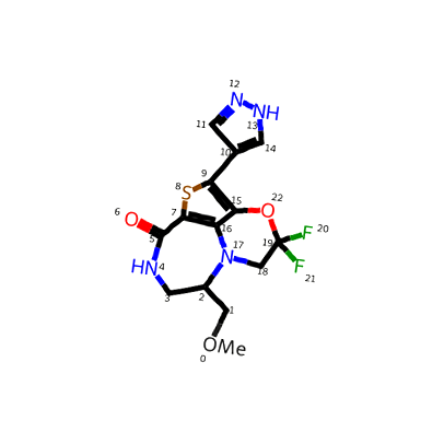 COCC1CNC(=O)c2sc(-c3cn[nH]c3)c3c2N1CC(F)(F)O3